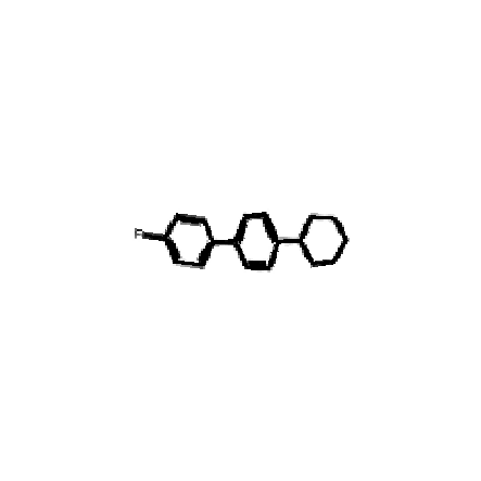 Fc1ccc(-c2ccc(C3CCCCC3)cc2)cc1